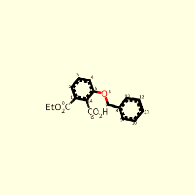 CCOC(=O)c1cccc(OCc2ccccc2)c1C(=O)O